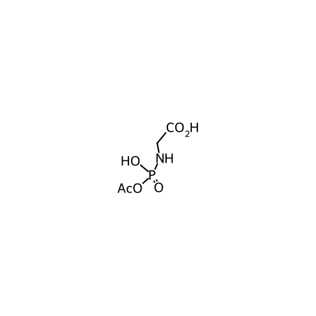 CC(=O)OP(=O)(O)NCC(=O)O